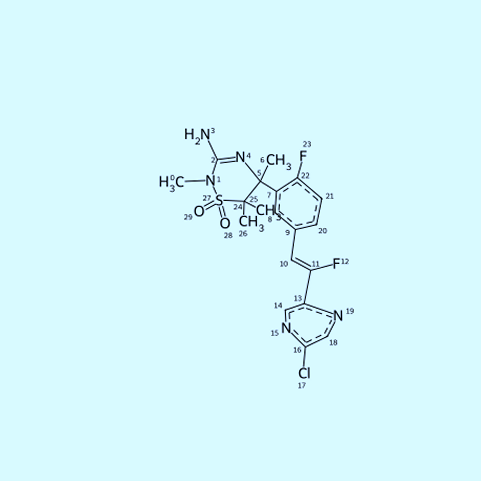 CN1C(N)=NC(C)(c2cc(C=C(F)c3cnc(Cl)cn3)ccc2F)C(C)(C)S1(=O)=O